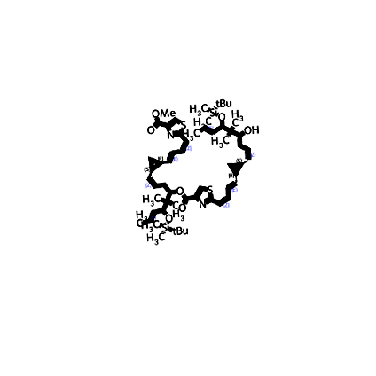 C/C=C/C(O[Si](C)(C)C(C)(C)C)C(C)(C)C(O)C/C=C\[C@H]1C[C@H]1/C=C/C=C\c1nc(C(=O)OC(C/C=C\[C@H]2C[C@H]2/C=C/C=C\c2nc(C(=O)OC)cs2)C(C)(C)C(/C=C/C)O[Si](C)(C)C(C)(C)C)cs1